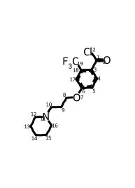 O=C(Cl)c1ccc(OCCCN2CCCCC2)cc1C(F)(F)F